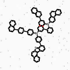 c1cc(-c2ccccc2N(c2cccc(-c3ccc4ccccc4c3)c2)c2ccc3c(ccc4ccccc43)c2)cc(N(c2ccc(-c3ccc(-c4cccc5ccccc45)cc3)cc2)c2ccc(-c3cccc4c3sc3ccc5ccccc5c34)cc2)c1